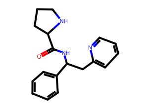 O=C(NC(Cc1ccccn1)c1ccccc1)C1CCCN1